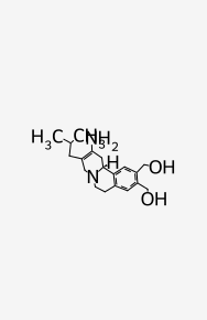 CC(C)CC1=C(N)C[C@@H]2c3cc(CO)c(CO)cc3CCN2C1